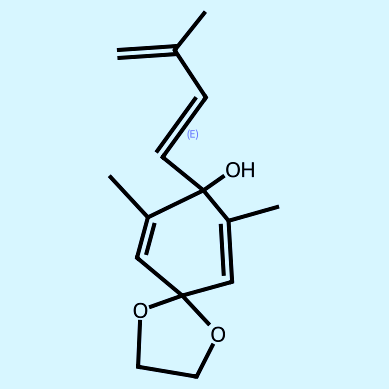 C=C(C)/C=C/C1(O)C(C)=CC2(C=C1C)OCCO2